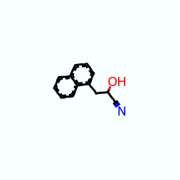 N#CC(O)Cc1cccc2ccccc12